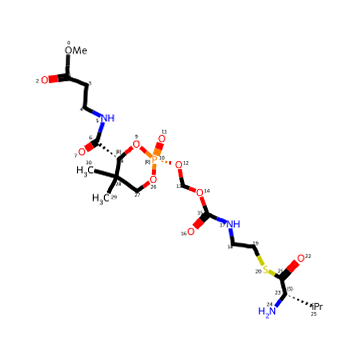 COC(=O)CCNC(=O)[C@@H]1O[P@](=O)(OCOC(=O)NCCSC(=O)[C@@H](N)C(C)C)OCC1(C)C